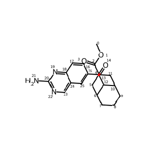 COC(=O)C1CC2CCCC(C1)C2C(=O)c1ccc2nc(N)ncc2c1